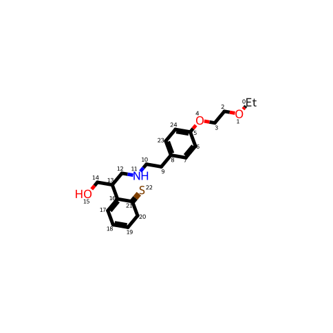 CCOCCOc1ccc(CCNCC(CO)C2=CC=CCC2=S)cc1